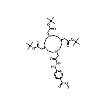 CC(C)(C)OC(=O)CN1CCN(CC(=O)NNc2ccc(C(=O)OI)cn2)CCN(CC(=O)OC(C)(C)C)CCN(CC(=O)OC(C)(C)C)CC1